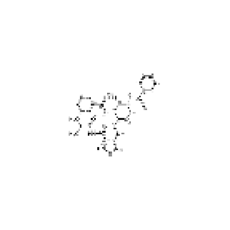 CC(C)C(=O)Nc1nc(C2OC[C@@H](OC(=O)c3ccccc3)[C@@H](O)[C@H]2OC(=O)c2ccccc2)nc2nc[nH]c12